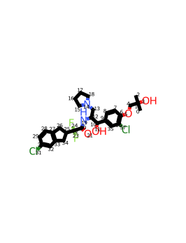 CC(C)(O)COc1ccc(C(O)C(CN2CCCC2)NC(=O)C(F)(F)C2Cc3ccc(Cl)cc3C2)cc1Cl